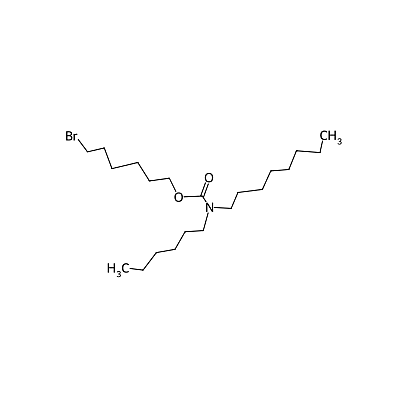 CCCCCCCCN(CCCCCC)C(=O)OCCCCCCBr